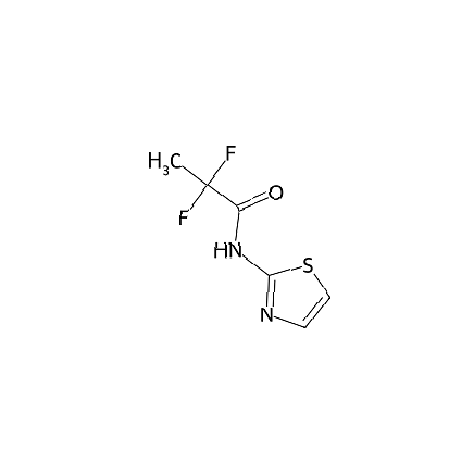 CC(F)(F)C(=O)Nc1nccs1